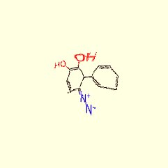 [N-]=[N+]=C1[C]=CC(O)=C(O)C1c1ccccc1